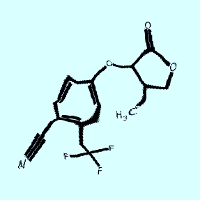 CC1COC(=O)C1Oc1ccc(C#N)c(C(F)(F)F)c1